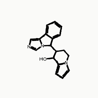 OC1c2cccn2CCC1C1c2ccccc2-c2cncn21